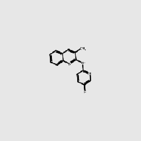 Cc1cc2ccccc2nc1Nc1ccc(F)cn1